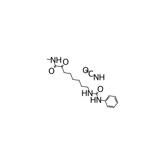 CNC(=O)C(=O)CCCCCCNC(=O)Nc1ccccc1.N=C=O